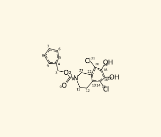 O=C(OCc1ccccc1)N1CCc2c(Cl)c(O)c(O)c(Cl)c2C1